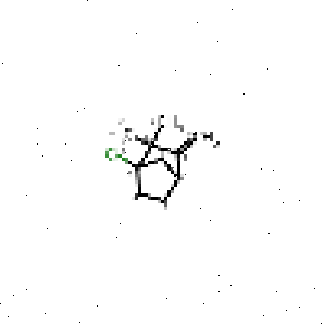 C=C1C2CCC(Cl)(C2)C1(C)C